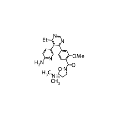 CCc1ncnc(-c2ccc(C(=O)N3CC[C@H](N(C)C)O3)c(OC)c2)c1-c1ccc(N)nc1